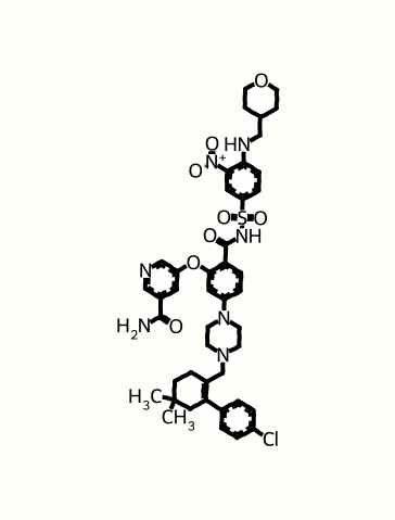 CC1(C)CCC(CN2CCN(c3ccc(C(=O)NS(=O)(=O)c4ccc(NCC5CCOCC5)c([N+](=O)[O-])c4)c(Oc4cncc(C(N)=O)c4)c3)CC2)=C(c2ccc(Cl)cc2)C1